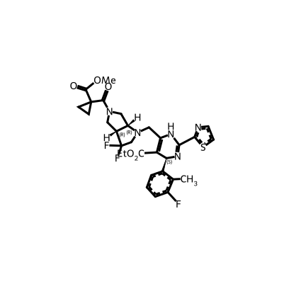 CCOC(=O)C1=C(CN2CC(F)(F)[C@@H]3CN(C(=O)C4(C(=O)OC)CC4)C[C@@H]32)NC(c2nccs2)=N[C@H]1c1cccc(F)c1C